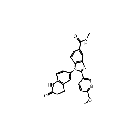 CNC(=O)c1ccc2c(c1)nc(-c1ccc(OC)nc1)n2-c1ccc2c(c1)CCC(=O)N2